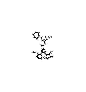 COc1cccc(OC)c1-c1cc(C(=O)N[C@@H](CCN2CCCCC2)CC(=O)O)nn1C1CCC(C)C1C